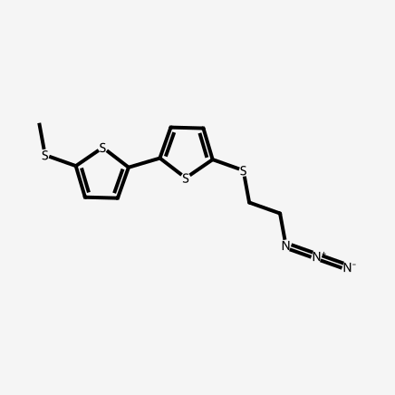 CSc1ccc(-c2ccc(SCCN=[N+]=[N-])s2)s1